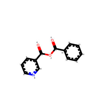 O=C(OC(=O)c1cccnc1)c1ccccc1